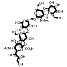 CC(=O)N[C@H]1[C@H](OC[C@H]2OC(O)[C@H](O)[C@@H](O[C@@H]3O[C@H](CO)[C@H](O)[C@H](O[C@]4(C(=O)O)C[C@H](O)[C@@H](NC(C)=O)[C@H]([C@H](O)[C@H](O)CO)O4)[C@H]3O)[C@H]2O)O[C@H](CO)[C@@H](O[C@@H]2O[C@H](CO)[C@H](O)[C@H](O)[C@H]2O)[C@@H]1O